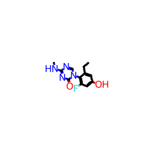 CCc1cc(O)cc(F)c1-n1cnc(NC)nc1=O